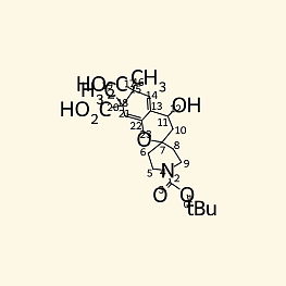 CC(C)(C)OC(=O)N1CCC2(CC1)CC(O)C1=CC(C)(C(=O)O)C(C)(C(=O)O)C=C1O2